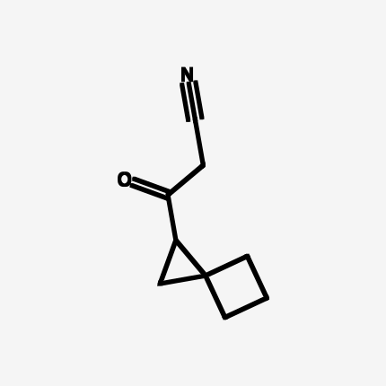 N#CCC(=O)C1CC12CCC2